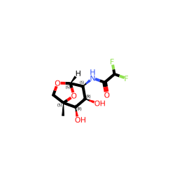 C[C@@]12CO[C@@H](O1)[C@@H](NC(=O)C(F)F)[C@@H](O)[C@H]2O